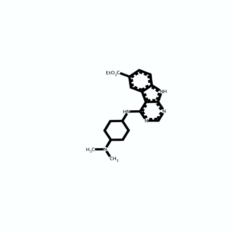 CCOC(=O)c1ccc2[nH]c3ncnc(NC4CCC(N(C)C)CC4)c3c2c1